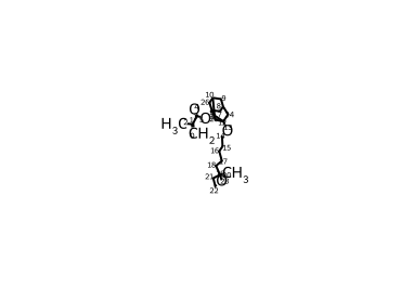 C=C(C)C(=O)OC12CC3CC(CC(OCCCCCC4(C)CCO4)(C3)C1)C2